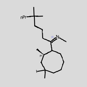 CCCC(C)(C)CCC/C(=N/C)C1CCCCC(C)(I)C[C@H]1C